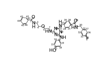 O=C(NCCOCCNc1nc(Nc2ccc(O)cc2)nc(Nc2ccc(C(=O)NCc3ccc(F)cc3)cc2)n1)c1ccccc1